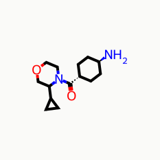 N[C@H]1CC[C@H](C(=O)N2CCOCC2C2CC2)CC1